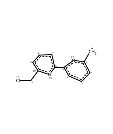 Cc1cccc(-c2cccc(CCl)n2)n1